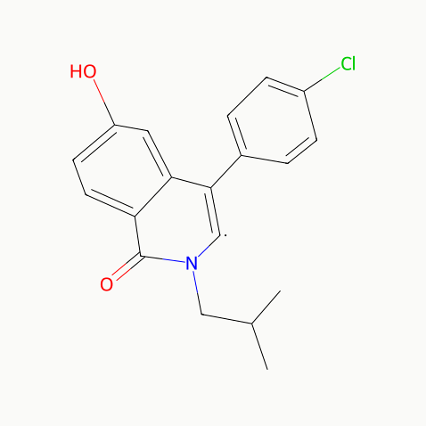 CC(C)Cn1[c]c(-c2ccc(Cl)cc2)c2cc(O)ccc2c1=O